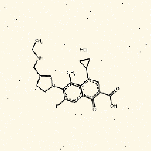 CCNCC1CCN(c2c(F)cc3c(=O)c(C(=O)O)cn(C4CC4)c3c2C)C1.Cl